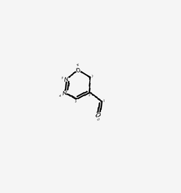 O=CC1=CN=NOC1